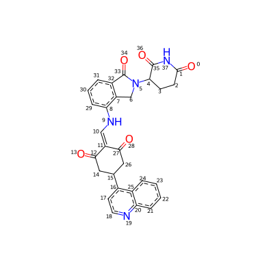 O=C1CCC(N2Cc3c(NC=C4C(=O)CC(c5ccnc6ccccc56)CC4=O)cccc3C2=O)C(=O)N1